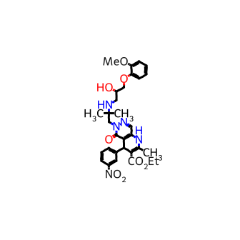 CCOC(=O)C1=C(C)Nc2cnn(CC(C)(C)NCC(O)COc3ccccc3OC)c(=O)c2C1c1cccc([N+](=O)[O-])c1